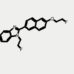 FCCOc1ccc2cc(-c3nc4ccccc4n3CCF)ccc2c1